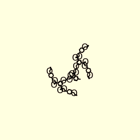 C=COC1CCC(COC(=O)c2cc(OCCOC(=O)c3ccc(C)cc3C(=O)OCCOc3cc(C(=O)OCC4CCC(OC=C)CC4)cc(C(=O)OCC4CCC(OC=C)CC4)c3)cc(C(=O)OCC3CCC(OC=C)CC3)c2)CC1